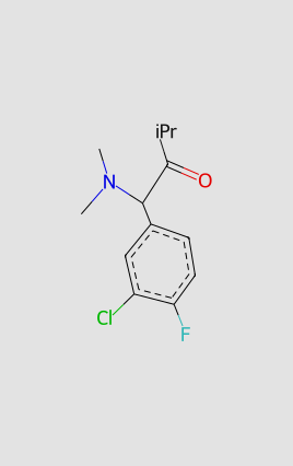 CC(C)C(=O)C(c1ccc(F)c(Cl)c1)N(C)C